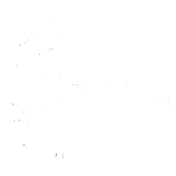 CCCCCCCCC1C2CCCC(C)C2C(O)C2C(C)C3(C)C(O)C(C(C)O)C(C)CC3(C)C(C)C12C